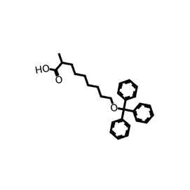 CC(CCCCCCCOC(c1ccccc1)(c1ccccc1)c1ccccc1)C(=O)O